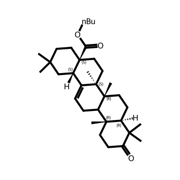 CCCCOC(=O)[C@]12CCC(C)(C)C[C@H]1C1=CCC3[C@@]4(C)CCC(=O)C(C)(C)[C@@H]4CC[C@@]3(C)[C@]1(C)CC2